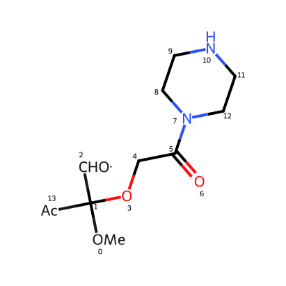 COC([C]=O)(OCC(=O)N1CCNCC1)C(C)=O